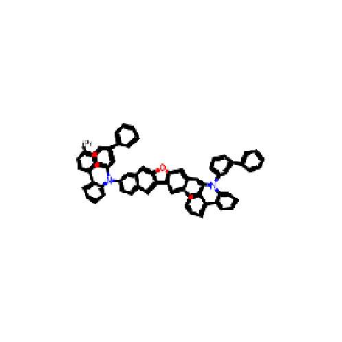 CC(C)c1ccc(-c2ccccc2N(c2cccc(-c3ccccc3)c2)c2ccc3cc4c(cc3c2)oc2cc3cc(N(c5cccc(-c6ccccc6)c5)c5ccccc5-c5ccccc5)ccc3cc24)cc1